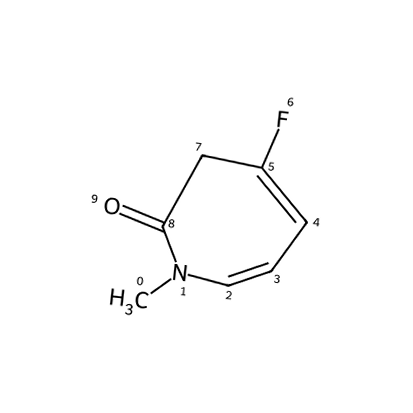 CN1C=CC=C(F)CC1=O